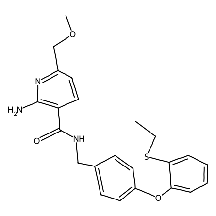 CCSc1ccccc1Oc1ccc(CNC(=O)c2ccc(COC)nc2N)cc1